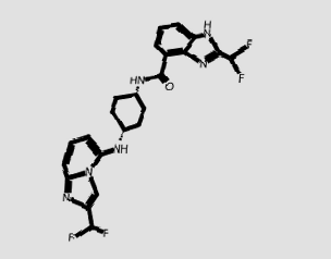 O=C(N[C@H]1CC[C@@H](Nc2cccc3nc(C(F)F)cn23)CC1)c1cccc2[nH]c(C(F)F)nc12